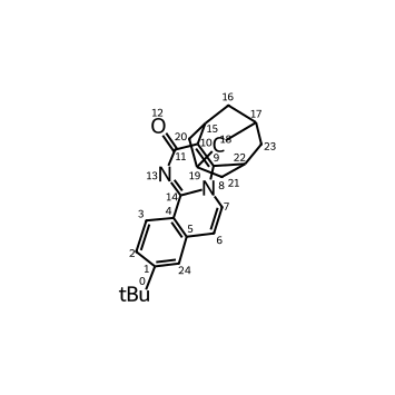 CC(C)(C)c1ccc2c(ccn3c4c(c(=O)nc23)C2CC3CC(C2)CC4C3)c1